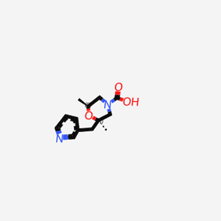 C[C@H]1CN(C(=O)O)C[C@@](C)(Cc2cccnc2)O1